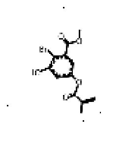 C=C(C)C(=O)Oc1cc(O)c(Br)c(C(=O)OC)c1